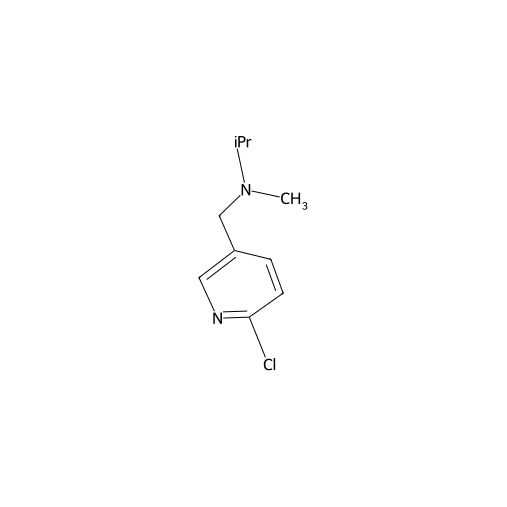 CC(C)N(C)Cc1ccc(Cl)nc1